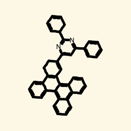 C1=CCC(c2nc(C3=Cc4c(c5ccccc5c5c6ccccc6c6ccccc6c45)CC3)cc(-c3ccccc3)n2)C=C1